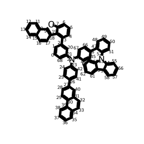 c1cc(-c2cccc3oc4c5ccccc5ccc4c23)cc(N(c2ccc(-c3ccc4c(ccc5ccccc54)c3)cc2)c2ccc(-c3ccccc3-n3c4ccccc4c4ccccc43)cc2)c1